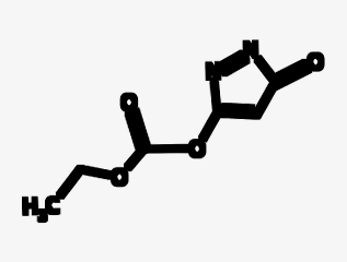 CCOC(=O)OC1=CC(=O)N=N1